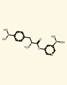 N[C@@H](Cc1ccc(B(O)O)cc1)C(=O)Oc1cncc(B(O)O)c1